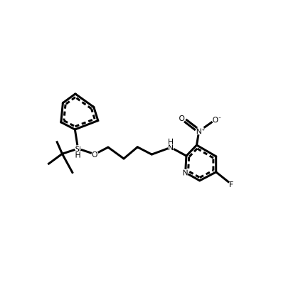 CC(C)(C)[SiH](OCCCCNc1ncc(F)cc1[N+](=O)[O-])c1ccccc1